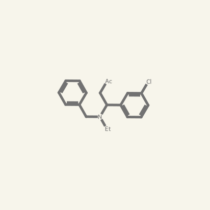 CCN(Cc1ccccc1)C(CC(C)=O)c1cccc(Cl)c1